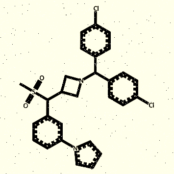 CS(=O)(=O)C(c1cccc(-n2cccc2)c1)C1CN(C(c2ccc(Cl)cc2)c2ccc(Cl)cc2)C1